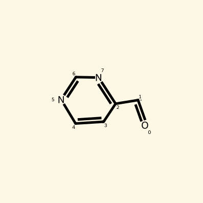 O=[C]c1ccncn1